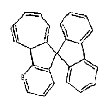 b1cccc2c1C1C#CC=CC=C1C21c2ccccc2-c2ccccc21